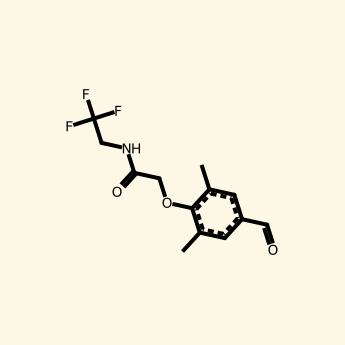 Cc1cc(C=O)cc(C)c1OCC(=O)NCC(F)(F)F